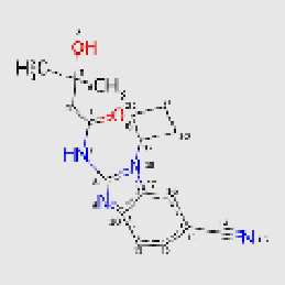 CC(C)(O)CC(=O)Nc1nc2ccc(C#N)cc2n1C1CCC1